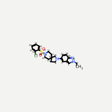 CCn1cc2cc(N3CCC4(CCN(S(=O)(=O)c5ccccc5Cl)CC4)C3)ccc2n1